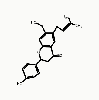 CC(C)=CCc1cc2c(cc1CO)OC(c1ccc(O)cc1)CC2=O